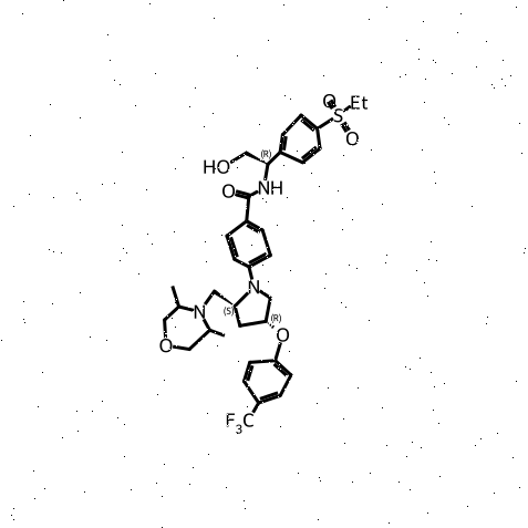 CCS(=O)(=O)c1ccc([C@H](CO)NC(=O)c2ccc(N3C[C@H](Oc4ccc(C(F)(F)F)cc4)C[C@H]3CN3C(C)COCC3C)cc2)cc1